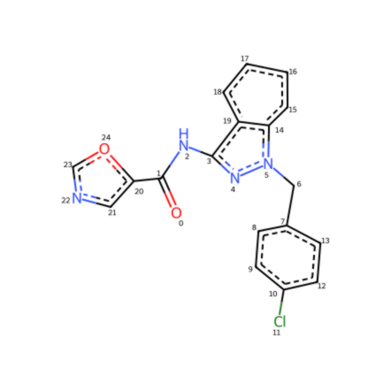 O=C(Nc1nn(Cc2ccc(Cl)cc2)c2ccccc12)c1cnco1